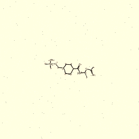 CC(=N)OC(C)NC(=O)C1CCC(CO[Si](C)(C)C(C)(C)C)CC1